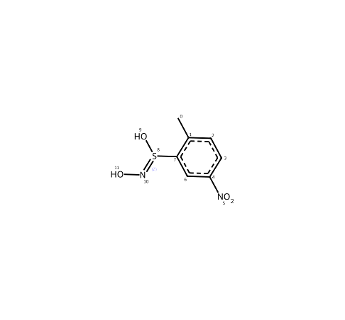 Cc1ccc([N+](=O)[O-])cc1/S(O)=N/O